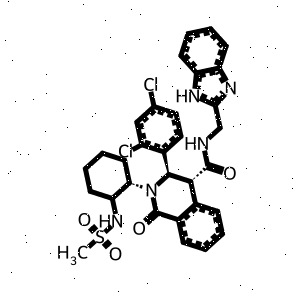 CS(=O)(=O)NC1CCCC[C@@H]1N1C(=O)c2ccccc2[C@@H](C(=O)NCc2nc3ccccc3[nH]2)[C@@H]1c1ccc(Cl)cc1Cl